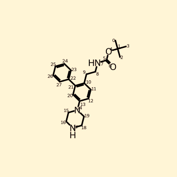 CC(C)(C)OC(=O)NCCc1ccc(N2CCNCC2)cc1-c1ccccc1